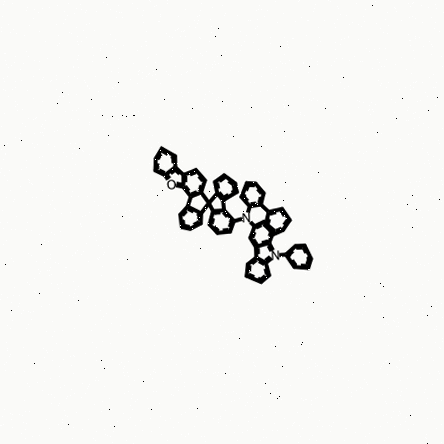 c1ccc(-c2ccccc2N(c2ccc3c(c2)c2ccccc2n3-c2ccccc2)c2cccc3c2-c2ccccc2C32c3ccccc3-c3c2ccc2c3oc3ccccc32)cc1